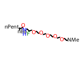 CCCCCC(CCCC)C(=O)NCC(F)COCCOCCOCCOCCOCCNC